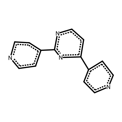 c1cc(-c2ccnc(-c3ccncc3)n2)ccn1